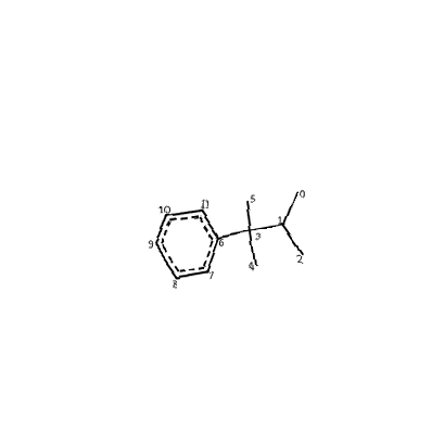 CC(C)C(C)(C)c1ccccc1